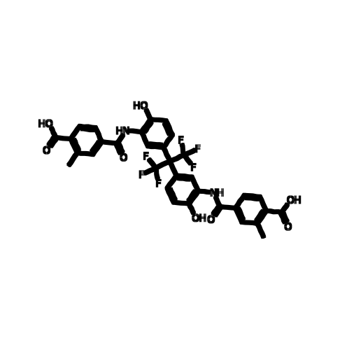 Cc1cc(C(=O)Nc2cc(C(c3ccc(O)c(NC(=O)c4ccc(C(=O)O)c(C)c4)c3)(C(F)(F)F)C(F)(F)F)ccc2O)ccc1C(=O)O